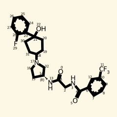 O=C(CNC(=O)c1cccc(C(F)(F)F)c1)N[C@@H]1CCN(C2CCC(O)(c3ccccc3F)CC2)C1